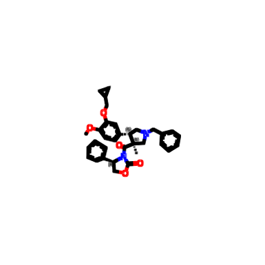 COc1ccc([C@@H]2CN(Cc3ccccc3)C[C@@]2(C)C(=O)N2C(=O)OC[C@H]2c2ccccc2)cc1OCC1CC1